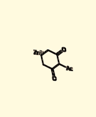 CC(=O)C1C(=O)CCCC1=O.[Zn+2]